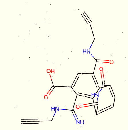 C#CCNC(=N)c1c(C(=O)O)cc(C(=O)NCC#C)c2c3ccc(c(=O)[nH]c3=O)c12